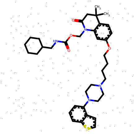 CC1(C)CC(=O)N(COC(=O)NCC2CCCCC2)c2cc(OCCCCN3CCN(c4cccc5sccc45)CC3)ccc21